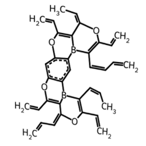 C=C/C=C\C1=C(C=C)O/C(=C/C)C2=C(C=C)Oc3cc4c(cc3B12)B1C(/C=C\C)=C(C=C)O/C(=C/C=C)C1=C(C=C)O4